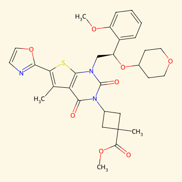 COC(=O)C1(C)CC(n2c(=O)c3c(C)c(-c4ncco4)sc3n(C[C@H](OC3CCOCC3)c3ccccc3OC)c2=O)C1